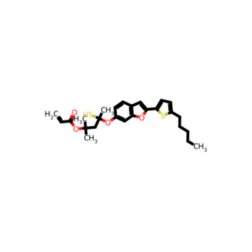 C=CC(=O)OC(C)(C)CC(C)(S)Oc1ccc2cc(-c3ccc(CCCCC)s3)oc2c1